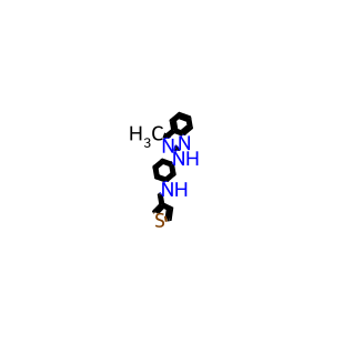 Cc1nc(NC2CCCC(NCc3ccsc3)C2)nc2ccccc12